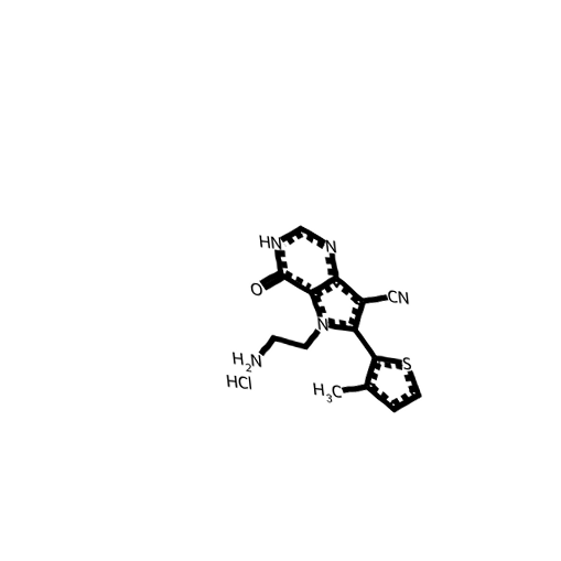 Cc1ccsc1-c1c(C#N)c2nc[nH]c(=O)c2n1CCN.Cl